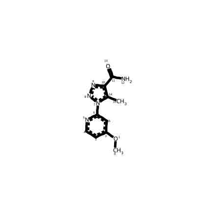 COc1ccnc(-n2nnc(C(N)=O)c2C)c1